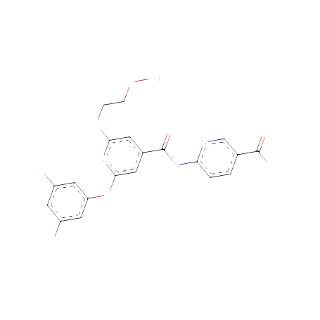 COC[C@@H](C)Oc1cc(C(=O)Nc2ccc(C(=O)O)cn2)cc(Oc2cc(F)cc(Cl)c2)n1